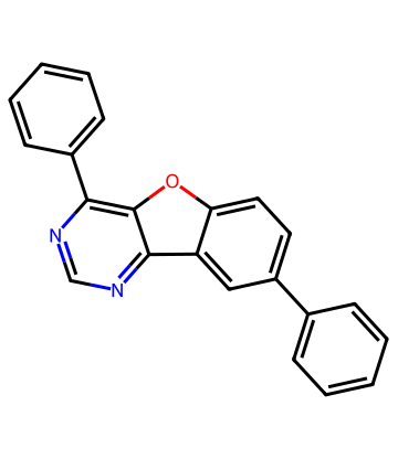 c1ccc(-c2ccc3oc4c(-c5ccccc5)ncnc4c3c2)cc1